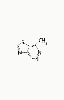 Cc1nncc2ncsc12